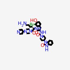 NCCCC[C@H](NC(=O)[C@@H](Cc1ccc(O)c(Br)c1)NC(=O)N1CCC(n2c(=O)[nH]c3ccccc32)CC1)C(=O)N1CCN(c2ccncc2)CC1